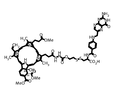 C=CC1=C(C)c2cc3[nH]c(cc4nc(cc5[nH]c(cc1n2)c(C)c5CCC(=O)OC)C(CCC(=O)NNC(=O)OCCSSCC(NC(=O)c1ccc(NCc2cnc5nc(N)[nH]c(=O)c5n2)cc1)C(=O)O)=C4C)[C@@]1(C)C3=CC=C(C(=O)OC)[C@H]1C(=O)OC